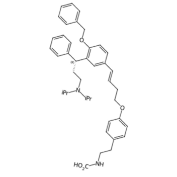 CC(C)N(CC[C@H](c1ccccc1)c1cc(C=CCCOc2ccc(CCNC(=O)O)cc2)ccc1OCc1ccccc1)C(C)C